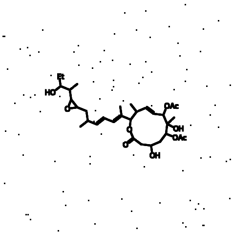 CCC(O)C(C)C1OC1CC(C)/C=C/C=C(\C)C1OC(=O)CC(O)CC(OC(C)=O)C(C)(O)C(OC(C)=O)/C=C/C1C